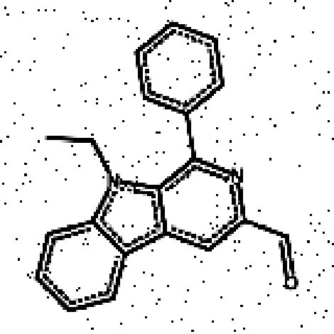 CCn1c2ccccc2c2cc(C=O)nc(-c3ccccc3)c21